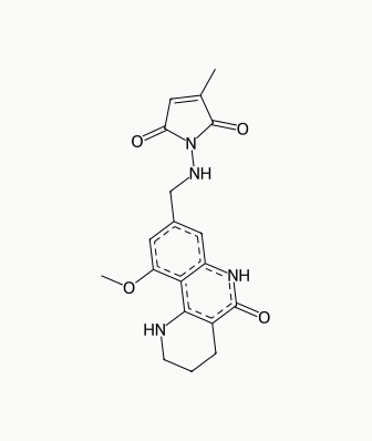 COc1cc(CNN2C(=O)C=C(C)C2=O)cc2[nH]c(=O)c3c(c12)NCCC3